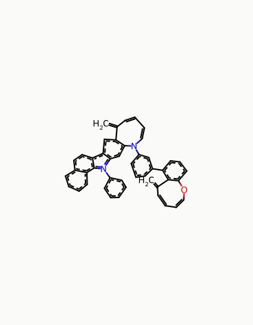 C=C1/C=C\C=C/N(c2cccc(-c3cccc4c3C(=C)/C=C\C=C/O4)c2)c2cc3c(cc21)c1ccc2ccccc2c1n3-c1ccccc1